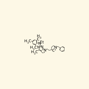 CCN(c1nc(C)c2c(n1)N(CCC1CCN(Cc3ccccc3)CC1)CC2)c1c(C)cc(C)cc1C